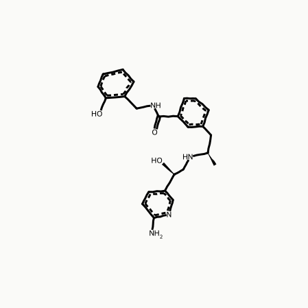 C[C@H](Cc1cccc(C(=O)NCc2ccccc2O)c1)NC[C@H](O)c1ccc(N)nc1